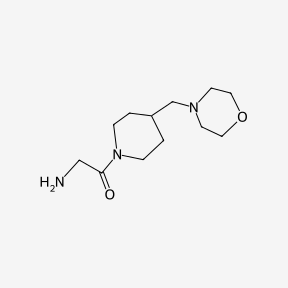 NCC(=O)N1CCC(CN2CCOCC2)CC1